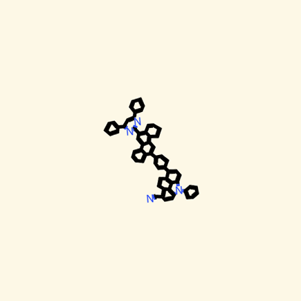 N#Cc1ccc2c3c1ccc1c(-c4ccc(-c5cc6c7ccccc7c(-c7nc(-c8ccccc8)cc(-c8ccccc8)n7)cc6c6ccccc56)cc4)ccc(c13)n2-c1ccccc1